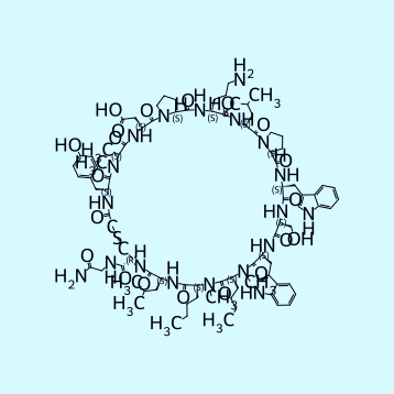 CCCC[C@H]1C(=O)N(C)[C@@H](CCCC)C(=O)N[C@@H](CC(C)C)C(=O)N[C@H](C(=O)NCC(N)=O)CSCC(=O)N[C@@H](Cc2ccc(O)cc2)C(=O)N(C)[C@@H](C)C(=O)N[C@@H](CC(=O)O)C(=O)N2CCC[C@H]2C(=O)N[C@@H](CCCN)C(=O)N[C@@H](CC(C)C)C(=O)N2CCC[C@H]2C(=O)N[C@@H](Cc2c[nH]c3ccccc23)C(=O)N[C@@H](CO)C(=O)N[C@@H](Cc2c[nH]c3ccccc23)C(=O)N1C